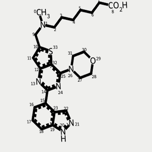 CN(CCCCCCC(=O)O)Cc1cc2nc(-c3cccc4[nH]ncc34)nc(N3CCOCC3)c2s1